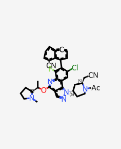 CC(=O)N1CC[C@H](n2ncc3c(OC(C)[C@@H]4CCCN4C)nc4c(F)c(-c5cccc6cccc(C#N)c56)c(Cl)cc4c32)C[C@H]1CC#N